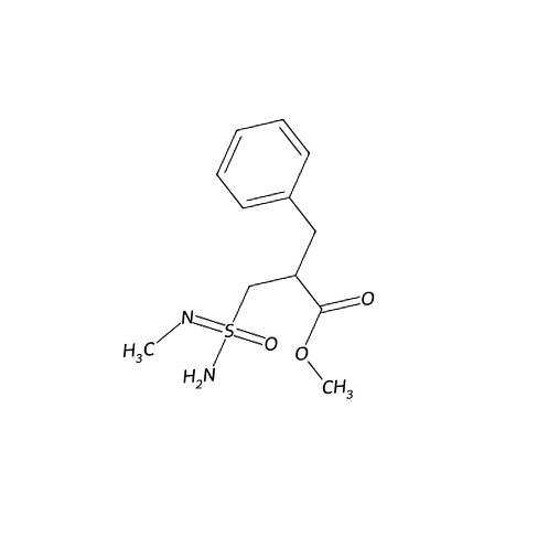 CN=S(N)(=O)CC(Cc1ccccc1)C(=O)OC